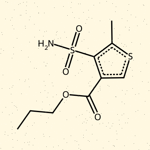 CCCOC(=O)c1csc(C)c1S(N)(=O)=O